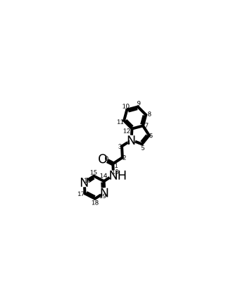 O=C(CCn1ccc2ccccc21)Nc1cnccn1